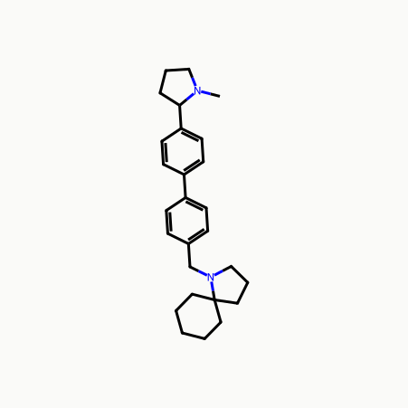 CN1CCCC1c1ccc(-c2ccc(CN3CCCC34CCCCC4)cc2)cc1